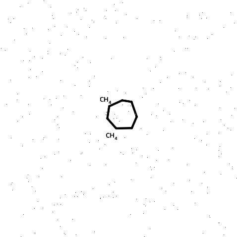 C.C.C1CCCCCC1